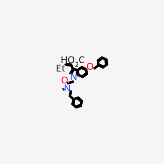 CC/C(=C\c1cn(CC(=O)N(C)CCc2ccccc2)c2ccc(OCc3ccccc3)cc12)C(=O)O